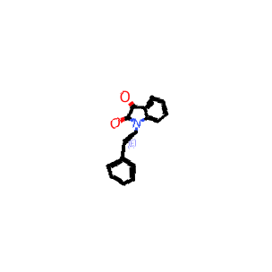 O=C1C(=O)N(/C=C/c2ccccc2)c2ccccc21